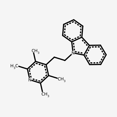 Cc1nc(C)c(C)c(CCn2c3ccccc3c3ccccc32)c1C